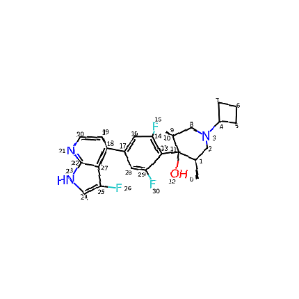 C[C@@H]1CN(C2CCC2)C[C@H](C)C1(O)c1c(F)cc(-c2ccnc3[nH]cc(F)c23)cc1F